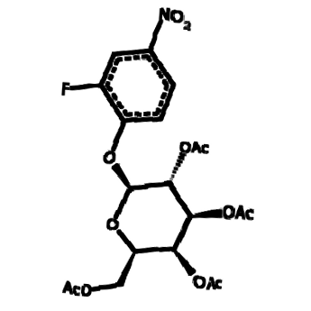 CC(=O)OC[C@H]1O[C@@H](Oc2ccc([N+](=O)[O-])cc2F)[C@H](OC(C)=O)[C@@H](OC(C)=O)[C@H]1OC(C)=O